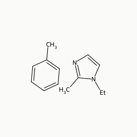 CCn1ccnc1C.Cc1ccccc1